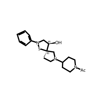 CC(=O)N1CCC(N2CC[C@]3(C2)SN(c2ccccc2)C[C@H]3O)CC1